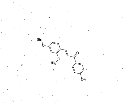 CC(C)(C)Oc1ccc(C=CC(=O)c2ccc(O)cc2)c(OC(C)(C)C)c1